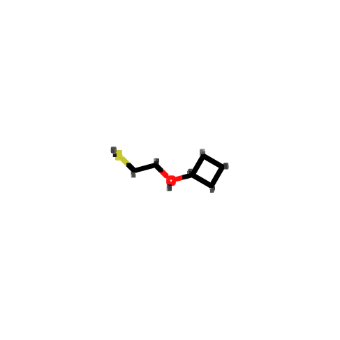 [S]CCOC1CCC1